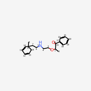 CC(OCCNCCC1(C)C=CC=CC1)C(=O)c1ccccc1